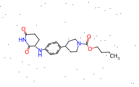 CCCCOC(=O)N1CCC(c2ccc(NC3CCC(=O)NC3=O)cc2)CC1